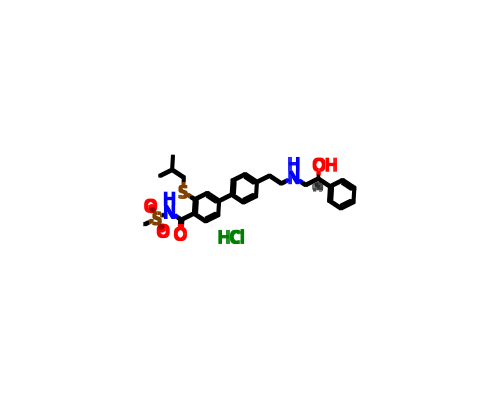 CC(C)CSc1cc(-c2ccc(CCNC[C@@H](O)c3ccccc3)cc2)ccc1C(=O)NS(C)(=O)=O.Cl